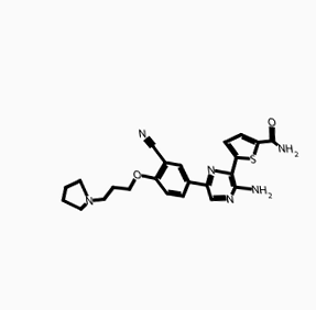 N#Cc1cc(-c2cnc(N)c(-c3ccc(C(N)=O)s3)n2)ccc1OCCCN1CCCC1